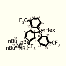 CCCCCC[B-](c1cccc(C(F)(F)F)c1)(c1cccc(C(F)(F)F)c1)c1cccc(C(F)(F)F)c1.CCCC[N+](CCCC)(CCCC)CCCC